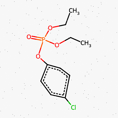 CCOP(=O)(OCC)Oc1ccc(Cl)cc1